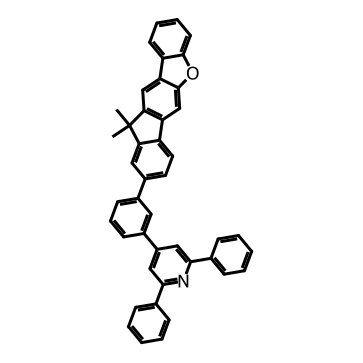 CC1(C)c2cc(-c3cccc(-c4cc(-c5ccccc5)nc(-c5ccccc5)c4)c3)ccc2-c2cc3oc4ccccc4c3cc21